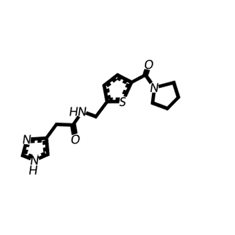 O=C(Cc1c[nH]cn1)NCc1ccc(C(=O)N2CCCC2)s1